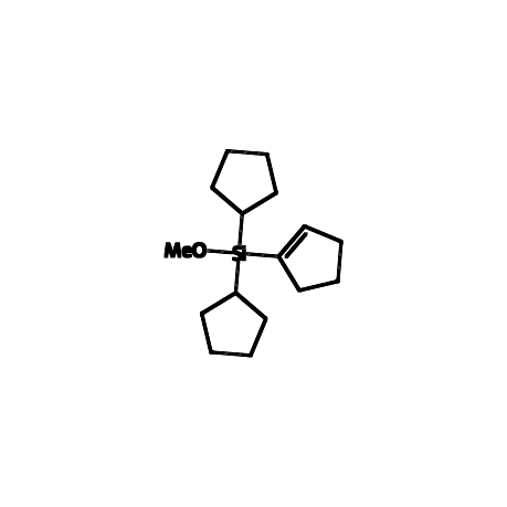 CO[Si](C1=CCCC1)(C1CCCC1)C1CCCC1